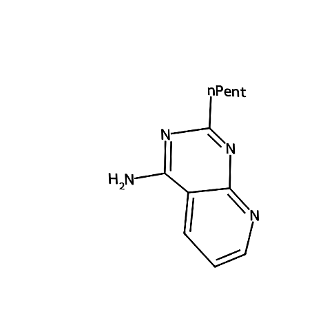 CCCCCc1nc(N)c2cccnc2n1